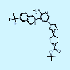 CC(C)(C)OC(=O)N1CCC(n2cc(-c3cnc(N)c(-c4cc5ccc(C(F)(F)F)cc5cn4)c3)cn2)CC1